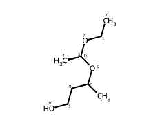 CCO[C@H](C)OC(C)CCO